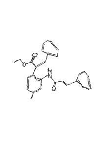 CCOC(=O)C(=Cc1ccccc1)c1ccc(C)cc1NC(=O)C=Cc1ccccc1